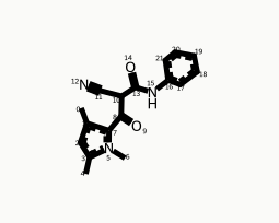 Cc1cc(C)n(C)c1C(=O)C(C#N)C(=O)Nc1ccccc1